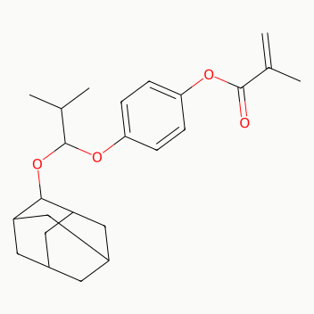 C=C(C)C(=O)Oc1ccc(OC(OC2C3CC4CC(C3)CC2C4)C(C)C)cc1